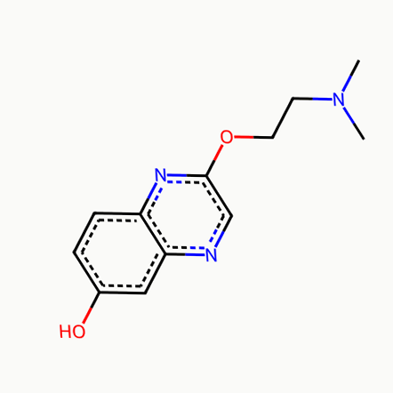 CN(C)CCOc1cnc2cc(O)ccc2n1